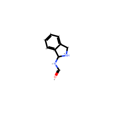 O=C[N]C1NCc2ccccc21